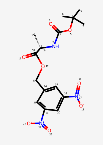 C[C@H](NC(=O)OC(C)(C)C)C(=O)OCc1cc([N+](=O)[O-])cc([N+](=O)[O-])c1